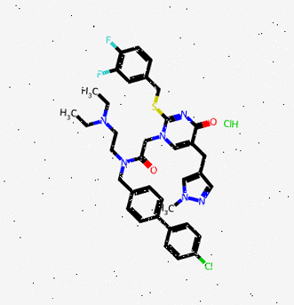 CCN(CC)CCN(Cc1ccc(-c2ccc(Cl)cc2)cc1)C(=O)Cn1cc(Cc2cnn(C)c2)c(=O)nc1SCc1ccc(F)c(F)c1.Cl